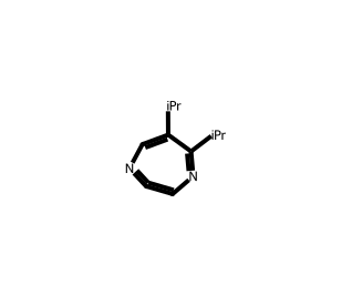 CC(C)C1=CN=C=CN=C1C(C)C